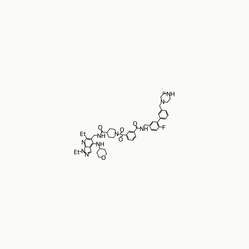 CCc1nc2c(cnn2CC)c(NC2CCOCC2)c1CNC(=O)C1CCN(S(=O)(=O)c2cccc(C(=O)NCc3ccc(F)c(-c4cccc(CN5CCN[C@@H](C)C5)c4)c3)c2)CC1